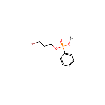 CCOP(=O)(OCCCBr)c1ccccc1